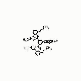 CCCCc1cccc(CCCC)c1N=C(C)c1cc(C)cc(C(C)=Nc2c(CCCC)cccc2CCCC)n1.[Cl-].[Cl-].[Cl-].[Fe+3]